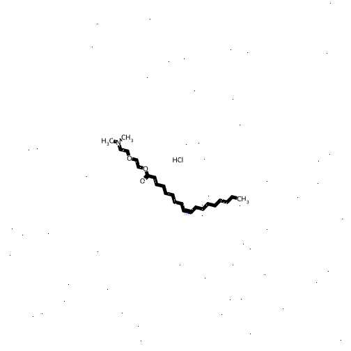 CCCCCCCC/C=C\CCCCCCCC(=O)OCCOCCN(C)C.Cl